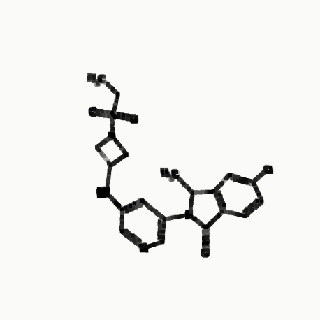 CCS(=O)(=O)N1CC(Nc2cncc(N3C(=O)c4ccc(Cl)cc4C3C)c2)C1